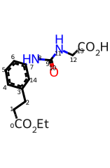 CCOC(=O)CCc1cccc(NC(=O)NCC(=O)O)c1